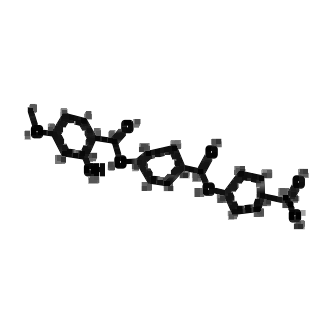 COc1ccc(C(=O)Oc2ccc(C(=O)Oc3ccc([N+](=O)[O-])cc3)cc2)c(O)c1